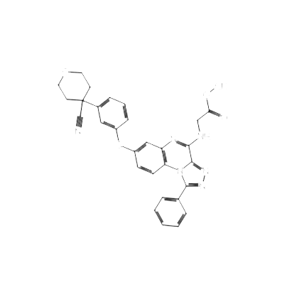 COC(=O)CNc1nc2cc(Sc3cccc(C4(C#N)CCOCC4)c3)ccc2n2c(-c3ccccc3)nnc12